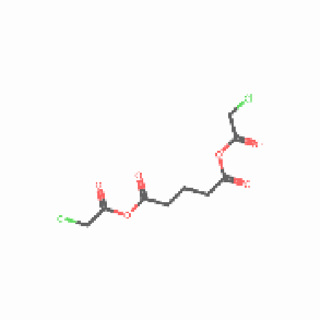 O=C(CCl)OC(=O)CCCC(=O)OC(=O)CCl